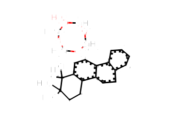 CC1(C)CCc2c(ccc3c2ccc2ccccc23)C1(C)C.O.O1[SiH2]O[SiH2]O[SiH2]O[SiH2]1